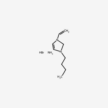 Br.C=CN1C=CN(CCCC)C1.N